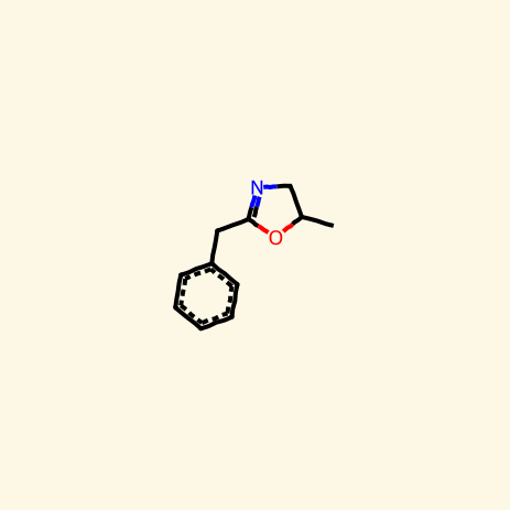 CC1CN=C(Cc2ccccc2)O1